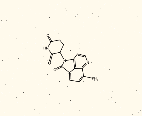 O=C1CCC(N2C(=O)c3ccc(P)c4nccc2c34)C(=O)N1